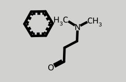 CN(C)CCC=O.c1ccccc1